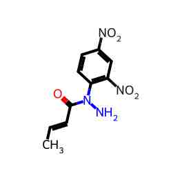 C/C=C/C(=O)N(N)c1ccc([N+](=O)[O-])cc1[N+](=O)[O-]